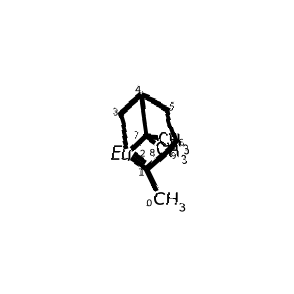 C[C]1=[Eu]2[CH2]C(CC1)[C]2(C)C